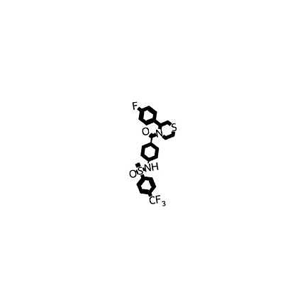 C=S(=O)(N[C@H]1CC[C@H](C(=O)N2CCSCC2c2ccc(F)cc2)CC1)c1ccc(C(F)(F)F)cc1